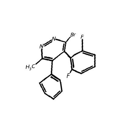 Cc1nnc(Br)c(-c2c(F)cccc2F)c1-c1ccccc1